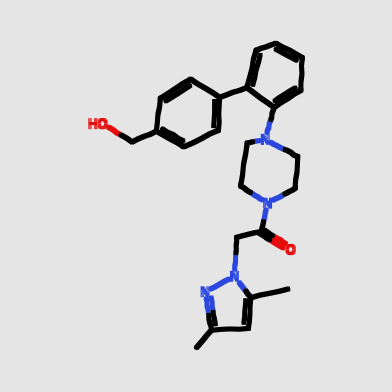 Cc1cc(C)n(CC(=O)N2CCN(c3ccccc3-c3ccc(CO)cc3)CC2)n1